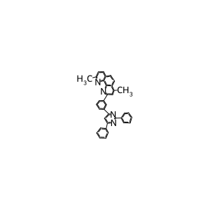 Cc1ccc2ccc3c(C)cc(-c4cccc(-c5cc(-c6ccccc6)nc(-c6ccccc6)n5)c4)nc3c2n1